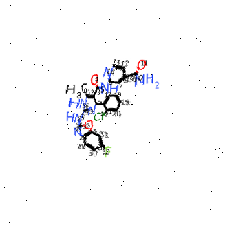 CC1=C(C(=O)Nc2cc(C(N)=O)ccn2)C(c2ccccc2Cl)N=C(Nc2nc3ccc(F)cc3o2)N1